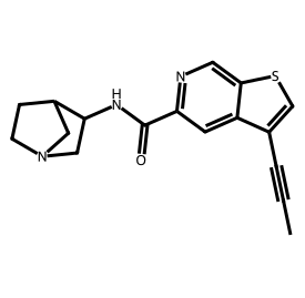 CC#Cc1csc2cnc(C(=O)NC3CN4CCC3C4)cc12